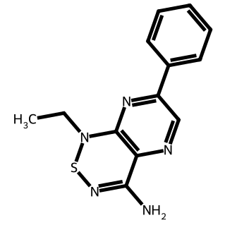 CCN1SN=C(N)c2ncc(-c3ccccc3)nc21